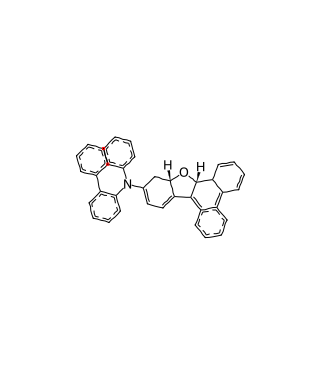 C1=CC2=c3ccccc3=C3C4=CC=C(N(c5ccccc5)c5ccccc5-c5ccccc5)C[C@@H]4O[C@@H]3C2C=C1